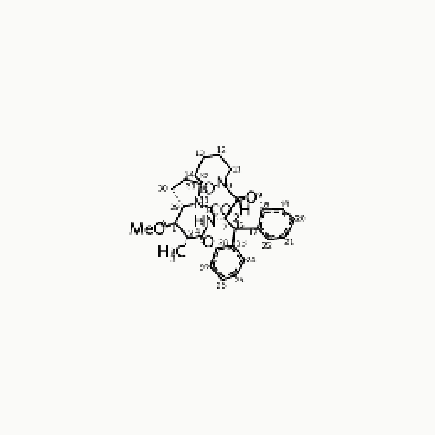 CO[C@H]([C@@H](C)C(=O)N[C@H](C(=O)N1CCCCO1)C(c1ccccc1)c1ccccc1)[C@@H]1CCCN1C(=O)O